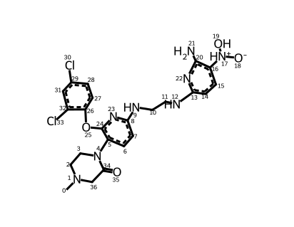 CN1CCN(c2ccc(NCCNc3ccc([NH+]([O-])O)c(N)n3)nc2Oc2ccc(Cl)cc2Cl)C(=O)C1